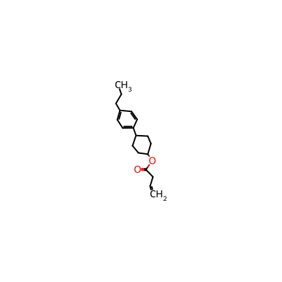 C=CCC(=O)OC1CCC(c2ccc(CCC)cc2)CC1